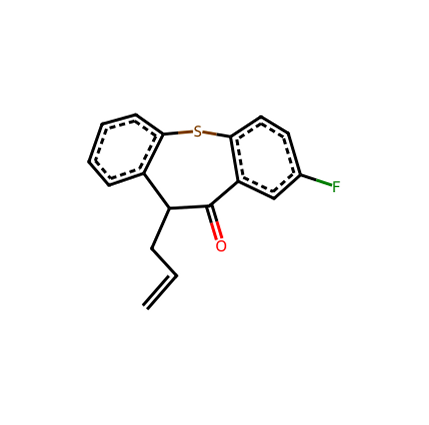 C=CCC1C(=O)c2cc(F)ccc2Sc2ccccc21